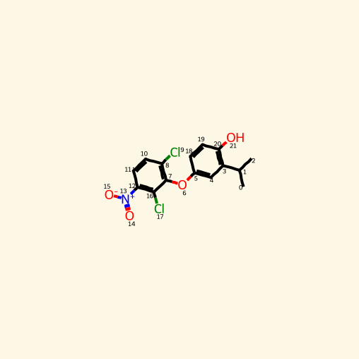 CC(C)c1cc(Oc2c(Cl)c[c]c([N+](=O)[O-])c2Cl)ccc1O